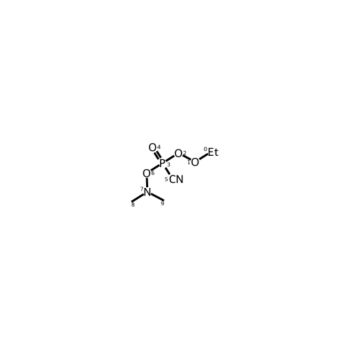 CCOOP(=O)(C#N)ON(C)C